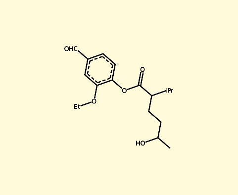 CCOc1cc(C=O)ccc1OC(=O)C(CCC(C)O)C(C)C